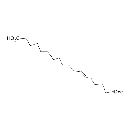 CCCCCCCCCCCCCCC=CCCCCCCCCCCC(=O)O